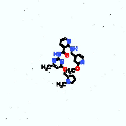 COc1cc(CNc2ncccc2C(=O)Nc2nc(C)cc(OCC3CCCN3C)n2)ccn1